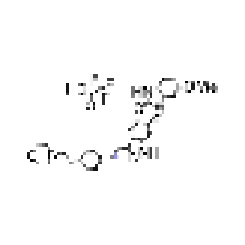 COc1ccc2c(c1)[C@]1(C[C@H]1c1ccc3c(/C=C/c4ccc(CCN5CCOCC5)cc4)n[nH]c3c1)C(=O)N2.O=C(O)C(F)(F)F